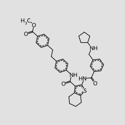 COC(=O)c1ccc(CCc2ccc(NC(=O)c3c(NC(=O)c4cccc(CNC5CCCC5)c4)sc4c3CCCC4)cc2)cc1